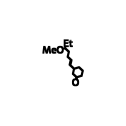 CCC(CCC=CC1CCCC(=O)C1)OC